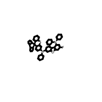 Fc1cc(N(c2ccccc2)c2ccccc2)c2c(c1)oc1cc(N(c3ccccc3)c3ccc4c(c3)Sc3ccccc3C43c4ccccc4-c4ccccc43)ccc12